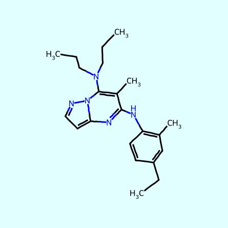 CCCN(CCC)c1c(C)c(Nc2ccc(CC)cc2C)nc2ccnn12